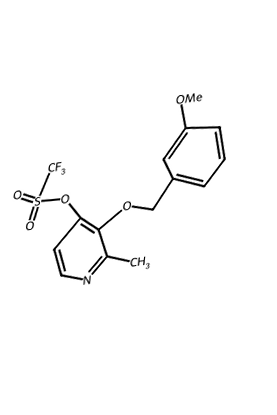 COc1cccc(COc2c(OS(=O)(=O)C(F)(F)F)ccnc2C)c1